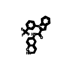 O=C(NC1=CC=C2ONCC=C2C1)c1cc2ccccc2n1-c1cccc(C(F)(F)F)c1